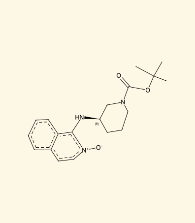 CC(C)(C)OC(=O)N1CCC[C@@H](Nc2c3ccccc3cc[n+]2[O-])C1